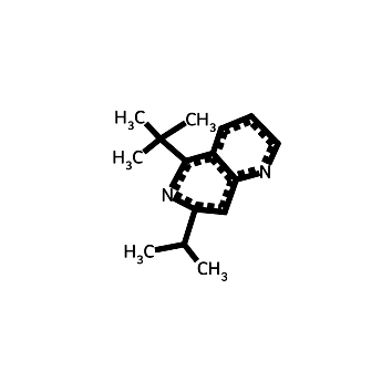 CC(C)c1cc2ncccc2c(C(C)(C)C)n1